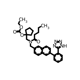 CCCCC(=O)N(Cc1ccc2cc(-c3ccccc3-c3nnn[nH]3)ccc2c1)CC1(OC(=O)OCC)CCCC1